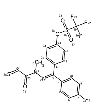 CN(N=C(c1ccc(Cl)cc1)c1ccc(OS(=O)(=O)C(F)(F)F)cc1)C(=O)C=S